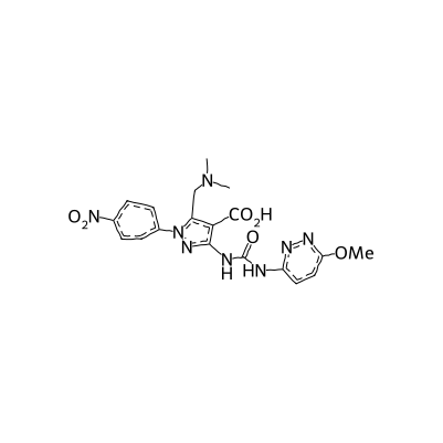 COc1ccc(NC(=O)Nc2nn(-c3ccc([N+](=O)[O-])cc3)c(CN(C)C)c2C(=O)O)nn1